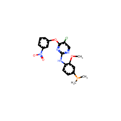 COc1cc(P(C)C)ccc1Nc1ncc(Cl)c(Oc2cccc([N+](=O)[O-])c2)n1